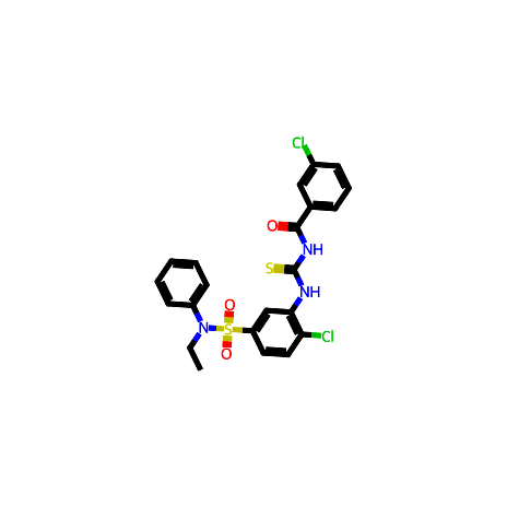 CCN(c1ccccc1)S(=O)(=O)c1ccc(Cl)c(NC(=S)NC(=O)c2cccc(Cl)c2)c1